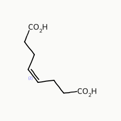 O=C(O)CC/C=C\CCC(=O)O